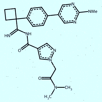 CNc1ncc(-c2ccc(C3(C(=N)NC(=O)c4cnn(CC(=O)N(C)C)c4)CCC3)cc2)cn1